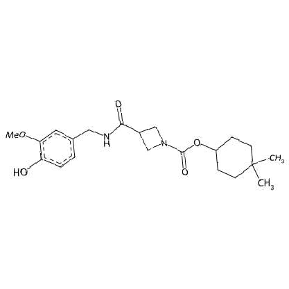 COc1cc(CNC(=O)C2CN(C(=O)OC3CCC(C)(C)CC3)C2)ccc1O